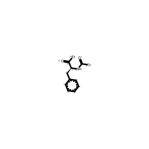 CCC(=O)N[C@@H](Cc1ccccc1)C(=O)CC